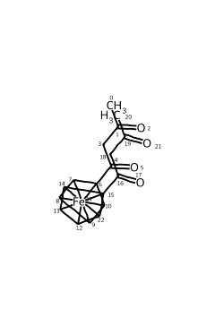 CC(=O)CC(=O)[C]12[CH]3[CH]4[CH]5[CH]1[Fe]45321678[CH]2[CH]1[CH]6[C]7(C(=O)CC(C)=O)[CH]28